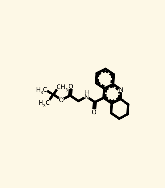 CC(C)(C)OC(=O)CNC(=O)c1c2c(nc3ccccc13)CCCC2